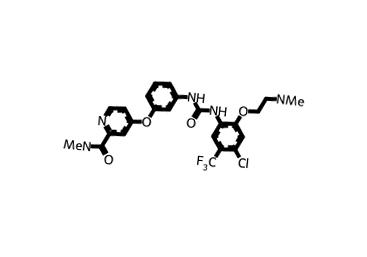 CNCCOc1cc(Cl)c(C(F)(F)F)cc1NC(=O)Nc1cccc(Oc2ccnc(C(=O)NC)c2)c1